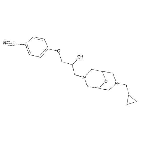 N#Cc1ccc(OCC(O)CN2CC3CN(CC4CC4)CC(C2)O3)cc1